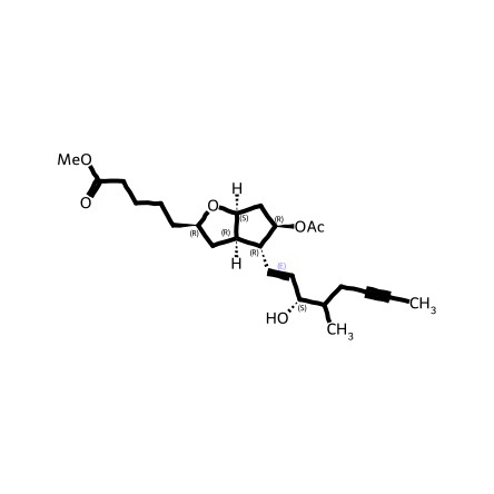 CC#CCC(C)[C@H](O)/C=C/[C@@H]1[C@H]2C[C@@H](CCCCC(=O)OC)O[C@H]2C[C@H]1OC(C)=O